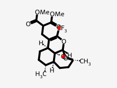 COC(=O)C(CC1=C(C(F)(F)F)O[C@@H]2O[C@]3(C)CC[C@H]4[C@H](C)CC[C@@H]1[C@@]24OO3)C(=O)OC